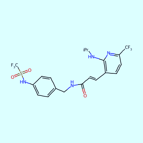 CC(C)Nc1nc(C(F)(F)F)ccc1/C=C/C(=O)NCc1ccc(NS(=O)(=O)C(F)(F)F)cc1